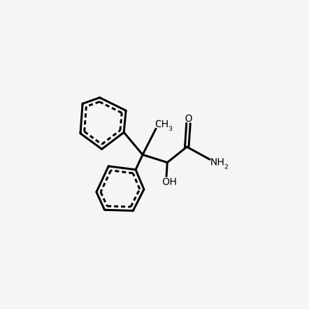 CC(c1ccccc1)(c1ccccc1)C(O)C(N)=O